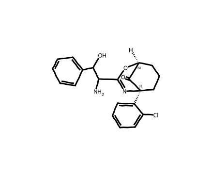 NC(C1=N[C@]2(c3ccccc3Cl)CCC[C@H](O1)C2=O)C(O)c1ccccc1